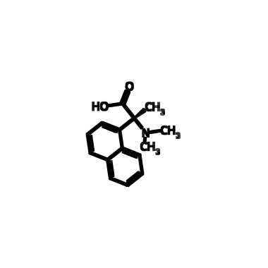 CN(C)[C@@](C)(C(=O)O)c1cccc2ccccc12